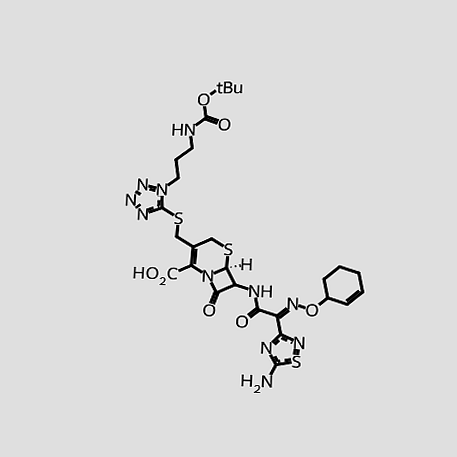 CC(C)(C)OC(=O)NCCCn1nnnc1SCC1=C(C(=O)O)N2C(=O)C(NC(=O)C(=NOC3C=CCCC3)c3nsc(N)n3)[C@@H]2SC1